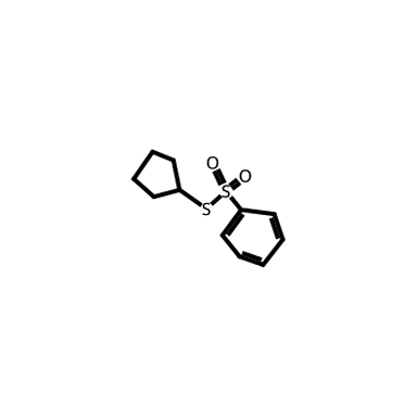 O=S(=O)(SC1CCCC1)c1ccccc1